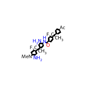 CNc1ccc(C(C)(c2ccc(NC(=O)c3ccc(C(C)(c4ccc(C(C)=O)cc4)C(F)(F)F)cc3)c(N)c2)C(F)(F)F)cc1N